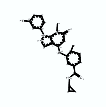 Cc1ccc(C(=O)NC2CC2)cc1Nc1cc(=O)n(C)c2c1cnn2-c1cccc(F)c1